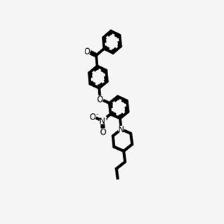 CCCC1CCN(c2cccc(Oc3ccc(C(=O)c4ccccc4)cc3)c2[N+](=O)[O-])CC1